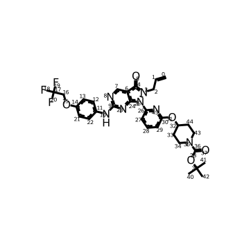 C=CCn1c(=O)c2cnc(Nc3ccc(OCC(F)(F)F)cc3)nc2n1-c1cccc(OC2CCN(C(=O)OC(C)(C)C)CC2)n1